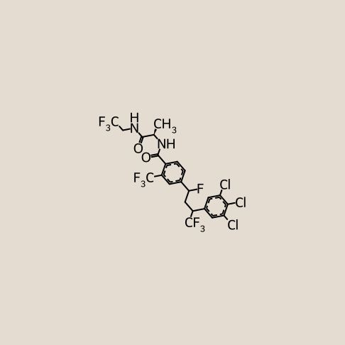 C[C@@H](NC(=O)c1ccc(C(F)CC(c2cc(Cl)c(Cl)c(Cl)c2)C(F)(F)F)cc1C(F)(F)F)C(=O)NCC(F)(F)F